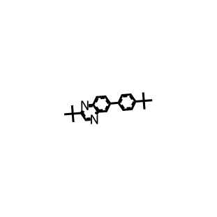 CC(C)(C)c1ccc(-c2ccc3nc(C(C)(C)C)cnc3c2)cc1